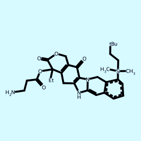 CCC1(OC(=O)CCN)C(=O)OCC2=C1CC1=C(C2=O)N2Cc3c(cccc3[Si](C)(C)CCC(C)(C)C)C=C2N1